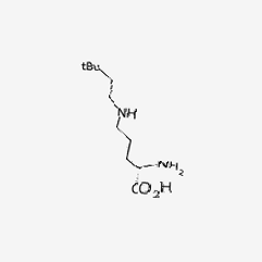 CC(C)(C)CCNCCC[C@H](N)C(=O)O